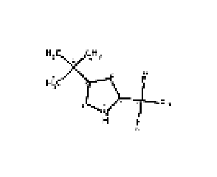 CC(C)(C)C1CNC(C(F)(F)F)C1